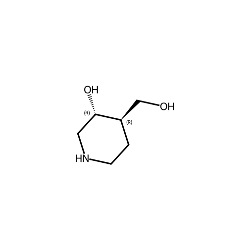 OC[C@H]1CCNC[C@@H]1O